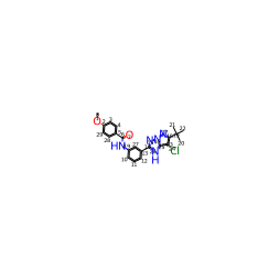 COc1ccc(C(=O)Nc2cccc(-c3nn4nc(C(C)(C)C)c(Cl)c4[nH]3)c2)cc1